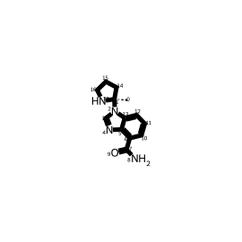 C[C@@]1(n2cnc3c(C(N)=O)cccc32)CCCN1